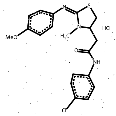 COc1ccc(N=C2SCC(CC(=O)Nc3ccc(Cl)cc3)N2C)cc1.Cl